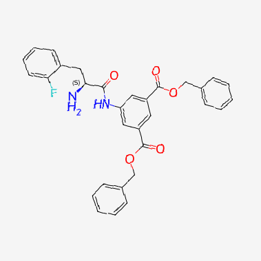 N[C@@H](Cc1ccccc1F)C(=O)Nc1cc(C(=O)OCc2ccccc2)cc(C(=O)OCc2ccccc2)c1